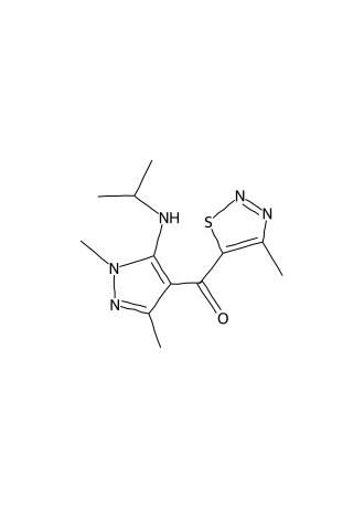 Cc1nnsc1C(=O)c1c(C)nn(C)c1NC(C)C